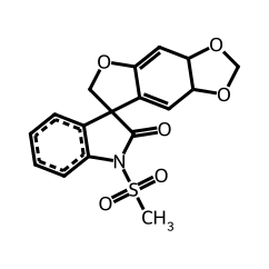 CS(=O)(=O)N1C(=O)C2(COC3=CC4OCOC4C=C32)c2ccccc21